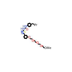 COCCOCCOCCOCCOc1cccc(-c2nnc(NC(=O)Nc3ccc(CC(C)C)cc3)s2)c1